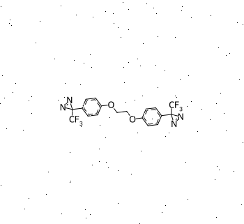 FC(F)(F)C1(c2ccc(OCCOc3ccc(C4(C(F)(F)F)N=N4)cc3)cc2)N=N1